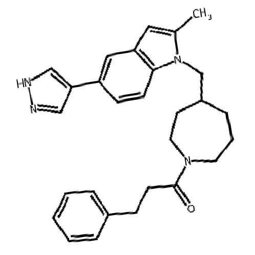 Cc1cc2cc(-c3cn[nH]c3)ccc2n1CC1CCCN(C(=O)CCc2ccccc2)CC1